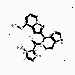 COc1cccn2nc(C3c4nc[nH]c4CCN3C(=O)c3ncnn3C)cc12